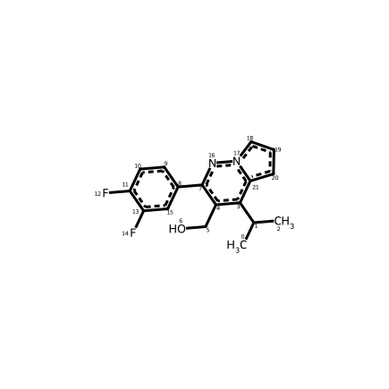 CC(C)c1c(CO)c(-c2ccc(F)c(F)c2)nn2cccc12